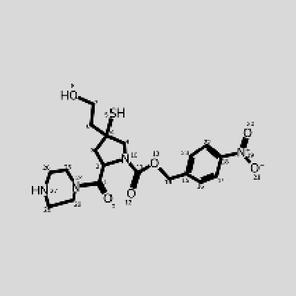 O=C(C1CC(S)(CCO)CN1C(=O)OCc1ccc([N+](=O)[O-])cc1)N1CCNCC1